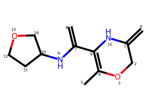 C=C1COC(C)=C(C(=C)NC2CCOC2)N1